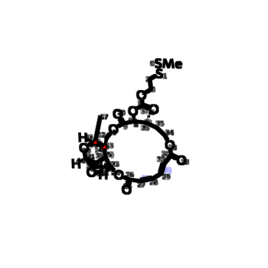 CSSCCOC(=O)O[C@@H]1C(=O)OC[C@]23CCC(C)=C[C@H]2O[C@@H]2C[C@@H](OC(=O)/C=C\C=C\C(=O)OCC[C@H]1C)[C@@]3(C)[C@]21CO1